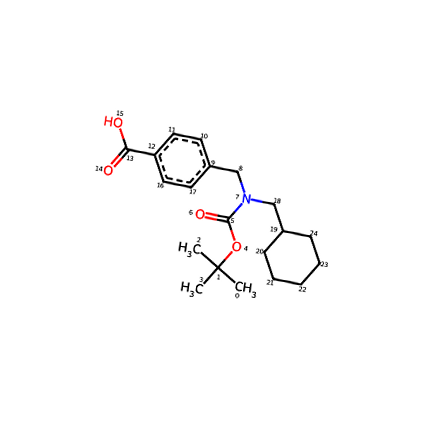 CC(C)(C)OC(=O)N(Cc1ccc(C(=O)O)cc1)CC1CCCCC1